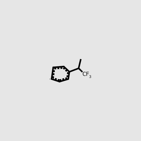 CC(c1cc[c]cc1)C(F)(F)F